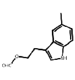 Cc1ccc2[nH]cc(CCOC=O)c2c1